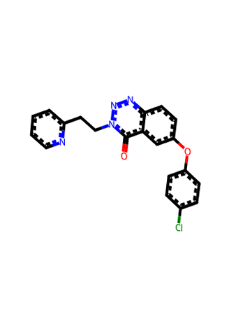 O=c1c2cc(Oc3ccc(Cl)cc3)ccc2nnn1CCc1ccccn1